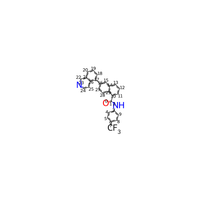 O=C(Nc1ccc(C(F)(F)F)cc1)c1cccc2cc(-c3cccc4cnccc34)ccc12